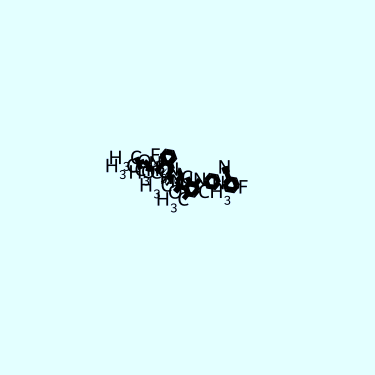 Cc1cc(C)c(C(=O)N2CCN(c3cccc(F)c3S(C)(=O)=NC(=O)OC(C)(C)C)C[C@@H]2C)c(C)c1NC1CCN(c2ccc(F)cc2C#N)CC1